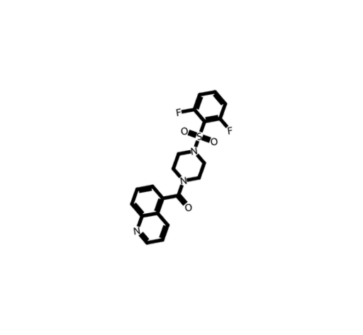 O=C(c1cccc2ncccc12)N1CCN(S(=O)(=O)c2c(F)cccc2F)CC1